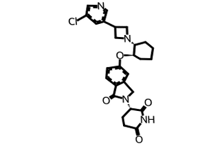 O=C1CC[C@H](N2Cc3cc(O[C@@H]4CCCC[C@H]4N4CC(c5cncc(Cl)c5)C4)ccc3C2=O)C(=O)N1